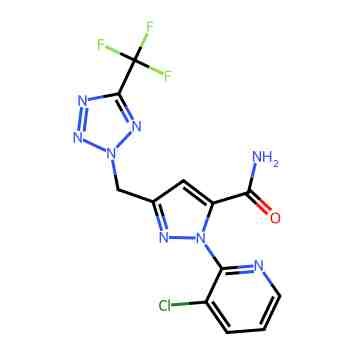 NC(=O)c1cc(Cn2nnc(C(F)(F)F)n2)nn1-c1ncccc1Cl